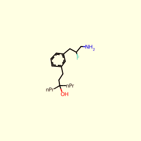 CCCC(O)(CCC)CCc1cccc(CC(F)CN)c1